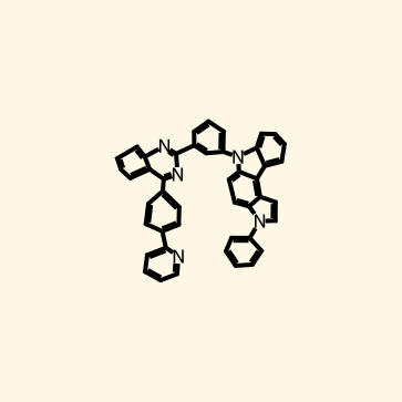 c1ccc(-n2ccc3c4c5ccccc5n(-c5cccc(-c6nc(-c7ccc(-c8ccccn8)cc7)c7ccccc7n6)c5)c4ccc32)cc1